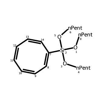 CCCCCO[Si](OCCCCC)(OCCCCC)C1=CC=CC=CC=C1